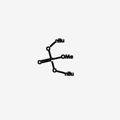 CCCCOP(=O)(OC)OCCCC